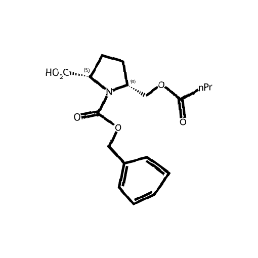 CCCC(=O)OC[C@H]1CC[C@@H](C(=O)O)N1C(=O)OCc1ccccc1